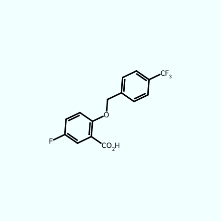 O=C(O)c1cc(F)ccc1OCc1ccc(C(F)(F)F)cc1